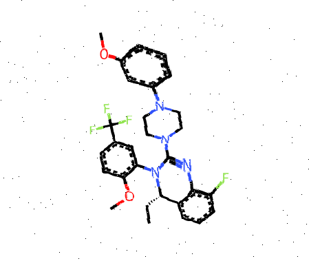 CC[C@H]1c2cccc(F)c2N=C(N2CCN(c3cccc(OC)c3)CC2)N1c1cc(C(F)(F)F)ccc1OC